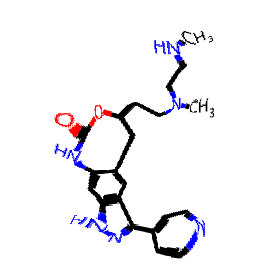 CNCCN(C)CCC1Cc2cc3c(-c4ccncc4)n[nH]c3cc2NC(=O)O1